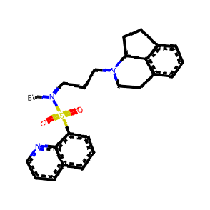 CCN(CCCN1CCc2cccc3c2C1CC3)S(=O)(=O)c1cccc2cccnc12